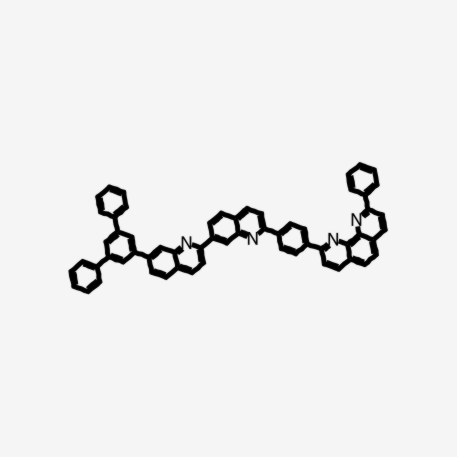 c1ccc(-c2cc(-c3ccccc3)cc(-c3ccc4ccc(-c5ccc6ccc(-c7ccc(-c8ccc9ccc%10ccc(-c%11ccccc%11)nc%10c9n8)cc7)nc6c5)nc4c3)c2)cc1